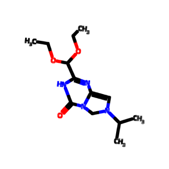 CCOC(OCC)C1=NC2=CN(C(C)C)CN2C(=O)N1